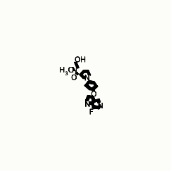 CN(CCO)C(=O)[C@@H]1CCCN(c2ccc(Oc3ccnc4c(F)cncc34)cc2)C1